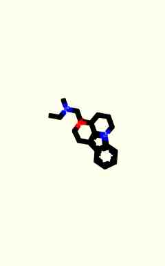 CCN(C)CCC12CCCn3c1c(c1ccccc13)CCO2